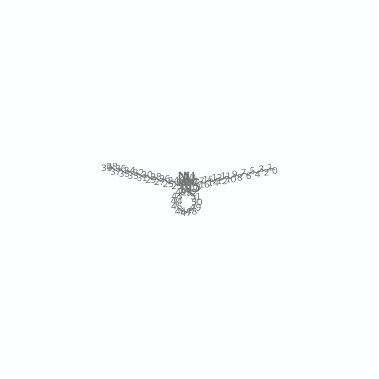 CCCCCCCCCCCCCCCCCCSc1nnc(CCCCCCCCCCCCCCCCC)n1C1CCCCCCCCCCC1